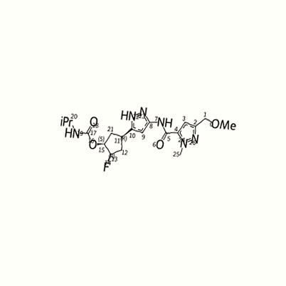 COCc1cc(C(=O)Nc2cc([C@H]3C[C@@H](F)[C@@H](OC(=O)NC(C)C)C3)[nH]n2)n(C)n1